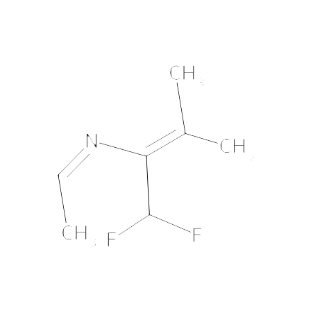 C/C=N\C(=C(C)C)C(F)F